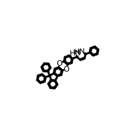 N=C(/C=C\C(=N)c1ccc2c(c1)Oc1cc3c(cc1O2)C(c1ccccc1)(c1ccccc1)c1ccccc1-3)c1ccccc1